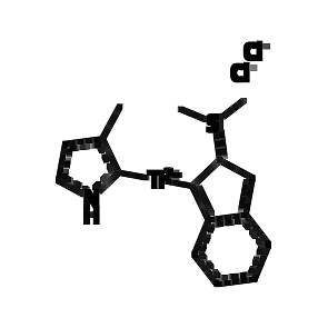 Cc1cc[nH][c]1[Ti+2][C]1=c2ccccc2=CC1=[Si](C)C.[Cl-].[Cl-]